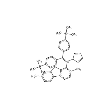 Cc1ccc2c(c1)Cc1c-2ccc(C)[c]1[Hf](=[C](c1ccc([Si](C)(C)C)cc1)c1ccc([Si](C)(C)C)cc1)[CH]1C=CC=C1